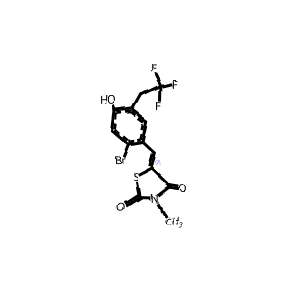 CN1C(=O)S/C(=C\c2cc(CC(F)(F)F)c(O)cc2Br)C1=O